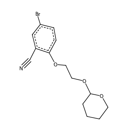 N#Cc1cc(Br)ccc1OCCOC1CCCCO1